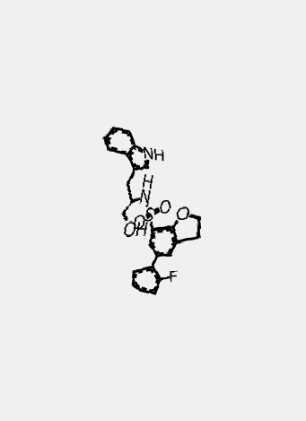 O=S(=O)(N[C@@H](CO)Cc1c[nH]c2ccccc12)c1cc(-c2ccccc2F)cc2c1OCC2